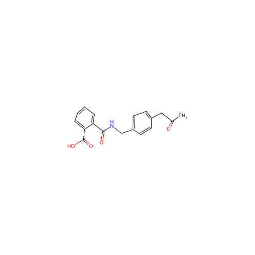 CC(=O)Cc1ccc(CNC(=O)c2ccccc2C(=O)O)cc1